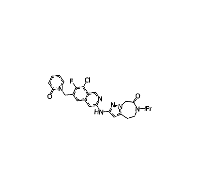 CC(C)N1CCc2cc(Nc3cc4cc(Cn5ccccc5=O)c(F)c(Cl)c4cn3)nn2CC1=O